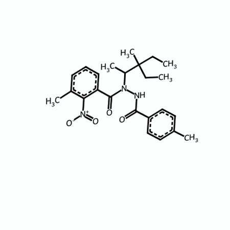 CCC(C)(CC)C(C)N(NC(=O)c1ccc(C)cc1)C(=O)c1cccc(C)c1[N+](=O)[O-]